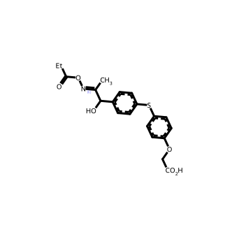 CCC(=O)O/N=C(\C)C(O)c1ccc(Sc2ccc(OCC(=O)O)cc2)cc1